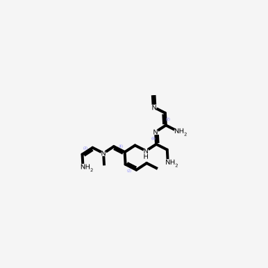 C=N/C=C(N)\N=C(/CN)NCC(/C=C\CC)=C/N(C)/C=C\N